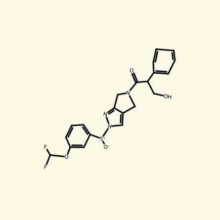 O=C(C(CO)c1ccccc1)N1Cc2cn([S+]([O-])c3cccc(OC(F)F)c3)nc2C1